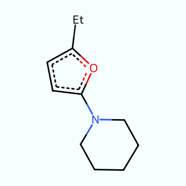 CCc1ccc(N2CCCCC2)o1